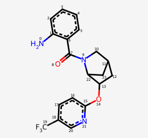 Nc1ccccc1C(=O)N1CC2CC(Oc3ccc(C(F)(F)F)cn3)C1C2